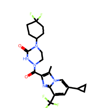 Cc1c(C(=O)N2CCN(C3CCC(F)(F)CC3)C(=O)N2)nc2c(C(F)(F)F)cc(C3CC3)cn12